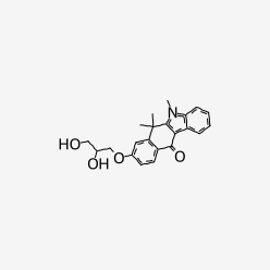 Cn1c2c(c3ccccc31)C(=O)c1ccc(OCC(O)CO)cc1C2(C)C